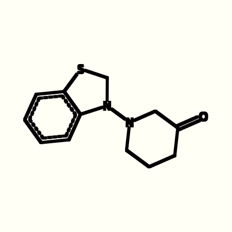 O=C1CCCN(N2CSc3ccccc32)C1